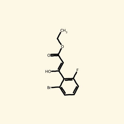 CCOC(=O)/C=C(\O)c1c(F)cccc1Br